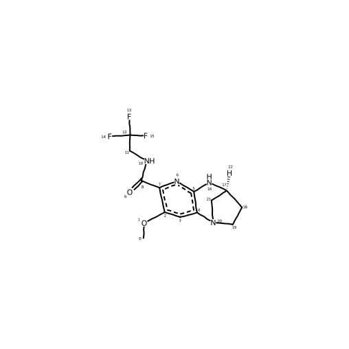 COc1cc2c(nc1C(=O)NCC(F)(F)F)N[C@H]1CCN2C1